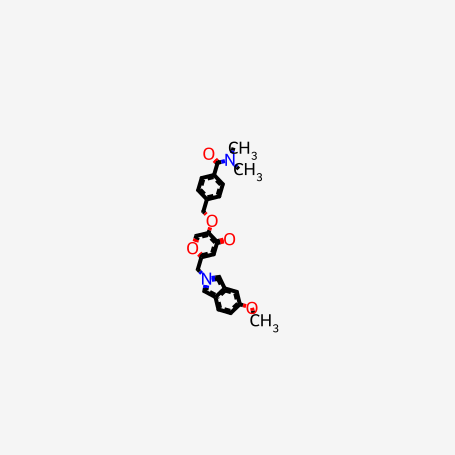 COc1ccc2cn(Cc3cc(=O)c(OCc4ccc(C(=O)N(C)C)cc4)co3)cc2c1